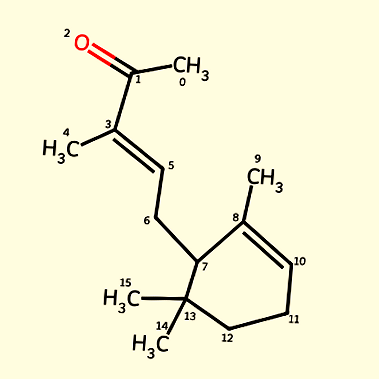 CC(=O)/C(C)=C/CC1C(C)=CCCC1(C)C